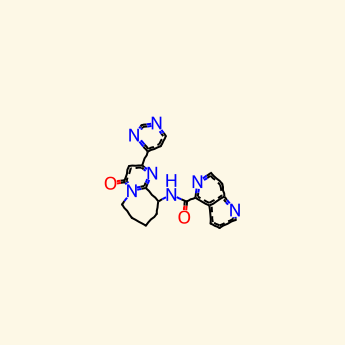 O=C(NC1CCCCn2c1nc(-c1ccncn1)cc2=O)c1nccc2ncccc12